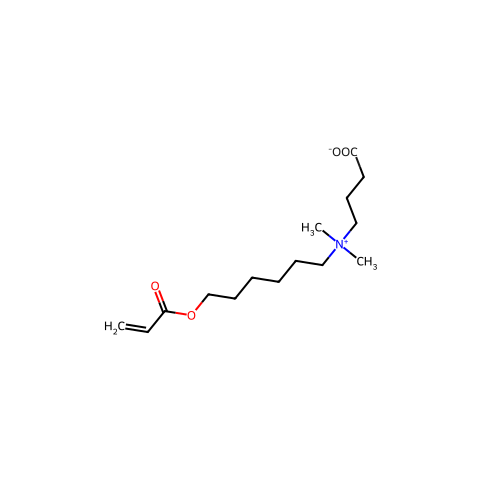 C=CC(=O)OCCCCCC[N+](C)(C)CCCC(=O)[O-]